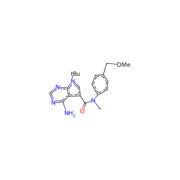 COCc1ccc(N(C)C(=O)c2cn(C(C)(C)C)c3ncnc(N)c23)cc1